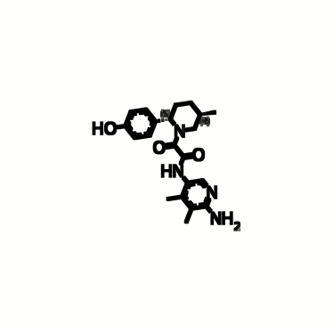 Cc1c(NC(=O)C(=O)N2C[C@H](C)CC[C@H]2c2ccc(O)cc2)cnc(N)c1C